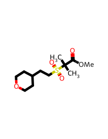 COC(=O)C(C)(C)S(=O)(=O)CCC1CCOCC1